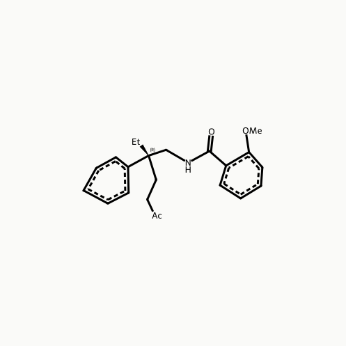 CC[C@](CCC(C)=O)(CNC(=O)c1ccccc1OC)c1ccccc1